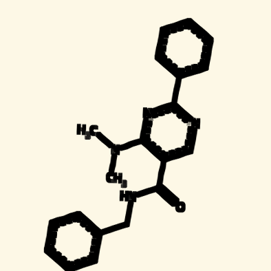 CN(C)c1nc(-c2ccccc2)ncc1C(=O)NCc1ccccc1